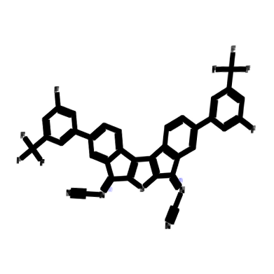 N#C/N=c1/c2cc(-c3cc(F)cc(C(F)(F)F)c3)ccc2c2c1sc1/c(=N/C#N)c3cc(-c4cc(F)cc(C(F)(F)F)c4)ccc3c12